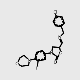 O=C1OC(/C=N/Cc2ccc(Cl)cc2)CN1c1ccc(N2CCOCC2)c(F)c1